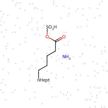 CCCCCCCCCCCC(=O)OS(=O)(=O)O.N